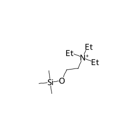 CC[N+](CC)(CC)CCO[Si](C)(C)C